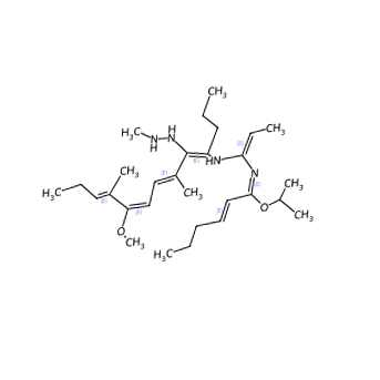 C\C=C(/N=C(\C=C\CCC)OC(C)C)N\C(CCC)=C(NNC)/C(C)=C/C=C(OC)\C(C)=C\CC